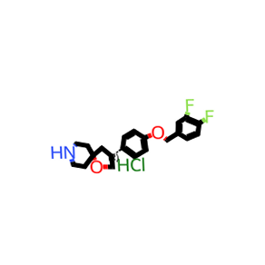 Cl.Fc1ccc(COc2ccc([C@@H]3COC4(CCNCC4)C3)cc2)cc1F